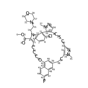 COC(=O)c1c2c3ccc(Cl)c(c3n1CCN1CCOCC1)-c1c(cnn1C)CSCc1cc(n(C)n1)CCc1cc(c3ccc(F)cc3c1)OCCC2